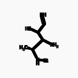 CCN[C@@H](C)C(N)C(S)C=N